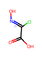 O=C(O)/C(Cl)=N/O